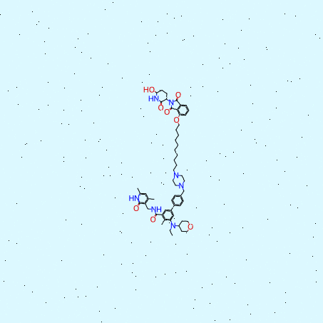 CCN(c1cc(-c2ccc(CN3CCN(CCCCCCCCCCOc4cccc5c4C(=O)N(C4CCC(O)NC4=O)C5=O)CC3)cc2)cc(C(=O)NCc2c(C)cc(C)[nH]c2=O)c1C)C1CCOCC1